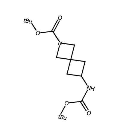 CC(C)(C)OC(=O)NC1CC2(C1)CN(C(=O)OC(C)(C)C)C2